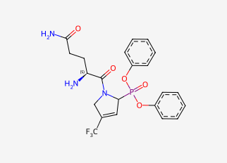 NC(=O)CC[C@H](N)C(=O)N1CC(C(F)(F)F)=CC1P(=O)(Oc1ccccc1)Oc1ccccc1